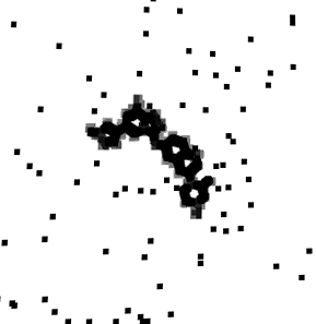 CC1CNCCN1c1cnc2ccc(Sc3nnc4c(F)cc(-c5cnn(C)c5)cn34)cc2c1